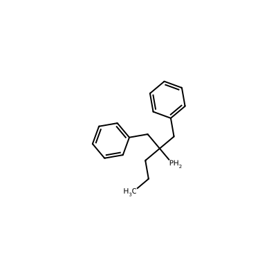 CCCC(P)(Cc1ccccc1)Cc1ccccc1